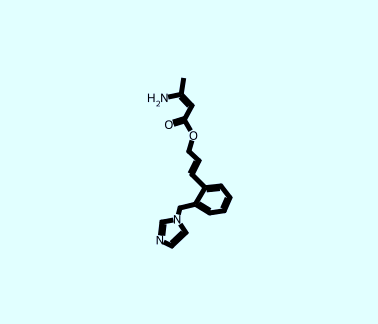 CC(N)=CC(=O)OCC=Cc1ccccc1Cn1ccnc1